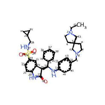 CCN1CCC2(CCN(Cc3ccc(N/C(=C4\C(=O)Nc5ccc(S(=O)(=O)NCC6CC6)cc54)c4ccccc4)cc3)C2)C1